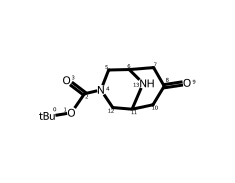 CC(C)(C)OC(=O)N1CC2CC(=O)CC(C1)N2